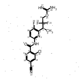 C[C@@H](c1nc(NC(=O)c2ncc(C#N)cc2Cl)ccc1F)C(F)(F)COC(=N)N